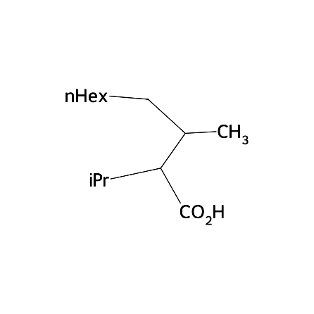 CCCCCCCC(C)C(C(=O)O)C(C)C